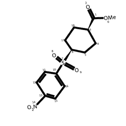 COC(=O)[C@H]1CC[C@@H](S(=O)(=O)c2ccc([N+](=O)[O-])cc2)CC1